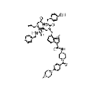 C=CCN1CC(=O)N2[C@@H](Cc3ccc(O)cc3)C(=O)N(Cc3cccc4c(C(=O)NC5CCN(C(=O)c6ccc(N7CCN(C)CC7)cc6)CC5)cn(C)c34)C[C@@H]2N1C(=O)NCc1ccccc1